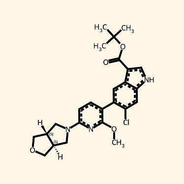 COc1nc(N2C[C@H]3COC[C@@H]3C2)ccc1-c1cc2c(C(=O)OC(C)(C)C)c[nH]c2cc1Cl